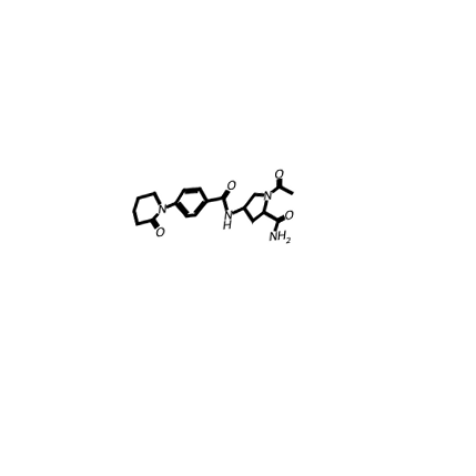 CC(=O)N1CC(NC(=O)c2ccc(N3CCCCC3=O)cc2)[CH]C1C(N)=O